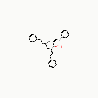 OC1C(=CCc2ccccc2)CC(=CCc2ccccc2)CC1=CCc1ccccc1